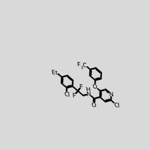 CCc1ccc(C(F)(F)CNC(=O)c2cc(Cl)ncc2Oc2cccc(C(F)(F)F)c2)c(Cl)c1